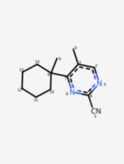 Cc1cnc(C#N)nc1C1(C)CCCCC1